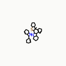 CC12C3=C(C=CCC3)C3C4CCCCC4N(N4C5CCC=CC5C4C4C=CCCC4)C3C1SC1CCCCC12